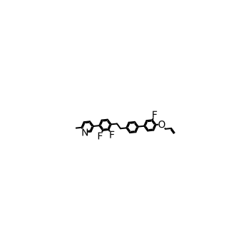 C=CCOc1ccc(-c2ccc(CCc3ccc(-c4ccc(C)nc4)c(F)c3F)cc2)cc1F